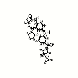 CN1C(=O)C(C)(C)CN(C2CCCC2)c2nc(Nc3cccc(C(=O)N4CC(F)(C5CC5)C4)c3)ncc21